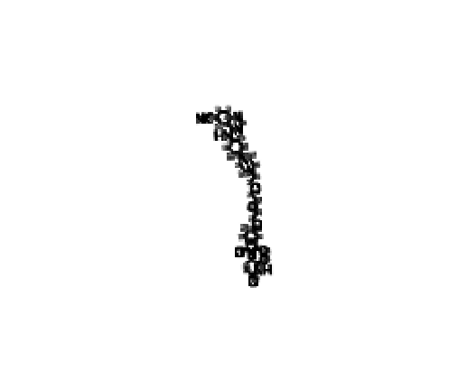 N#Cc1ccc2ncnc(NC3CCC(N4CCN(CCOCCOCCOc5ccc6c(c5)C(=O)N(C5CCC(=O)NC5=O)C6=O)CC4)CC3)c2c1